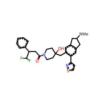 CNC1Cc2cc(CC3(O)CCN(C(=O)CC(c4ccccc4)C(F)F)CC3)c(-c3ccsn3)cc2C1